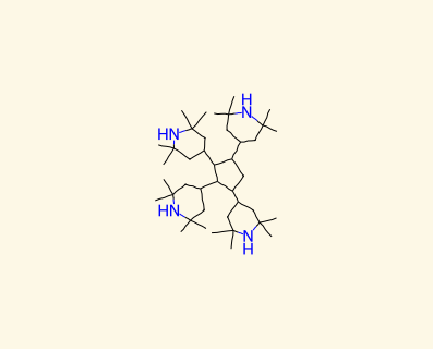 CC1(C)CC(C2CC(C3CC(C)(C)NC(C)(C)C3)C(C3CC(C)(C)NC(C)(C)C3)C2C2CC(C)(C)NC(C)(C)C2)CC(C)(C)N1